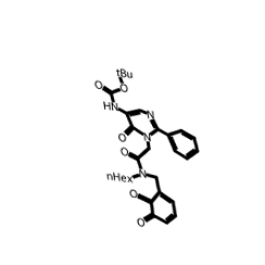 CCCCCCN(CC1=CC=CC(=O)C1=O)C(=O)Cn1c(-c2ccccc2)ncc(NC(=O)OC(C)(C)C)c1=O